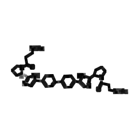 CC(=O)NCCC(=O)N1CCCC1c1ncc(-c2ccc(-c3ccc(-c4cnc([C@@H]5CCCN5C(=O)CCNC(C)=O)[nH]4)cc3)cc2)[nH]1